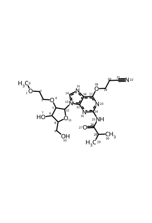 COCCOC1C(O)C(CO)OC1n1cnc2c(OCCC#N)nc(NC(=O)C(C)C)nc21